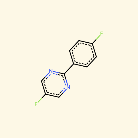 Fc1c[c]c(-c2ncc(F)cn2)cc1